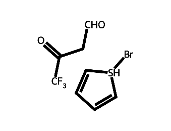 Br[SH]1C=CC=C1.O=CCC(=O)C(F)(F)F